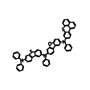 c1ccc(N(c2ccccc2)c2ccc3c(c2)sc2ccc(N(c4ccccc4)c4ccc5c(c4)oc4ccc(N(c6ccccc6)c6ccc7c(c6)Sc6cccc8cccc-7c68)cc45)cc23)cc1